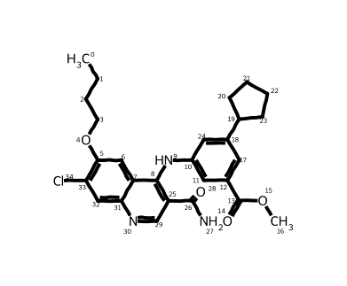 CCCCOc1cc2c(Nc3cc(C(=O)OC)cc(C4CCCC4)c3)c(C(N)=O)cnc2cc1Cl